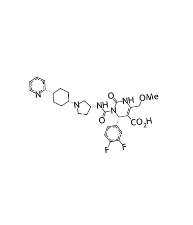 COCC1=C(C(=O)O)[C@H](c2ccc(F)c(F)c2)N(C(=O)N[C@@H]2CCN([C@H]3CC[C@@H](c4ccccn4)CC3)C2)C(=O)N1